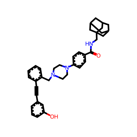 O=C(NCC12CC3CC(CC(C3)C1)C2)c1ccc(N2CCN(Cc3ccccc3C#Cc3cccc(O)c3)CC2)cc1